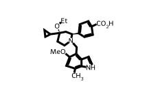 CCO[C@@]1(C2CC2)CCN(Cc2c(OC)cc(C)c3[nH]ccc23)[C@H](c2ccc(C(=O)O)cc2)C1